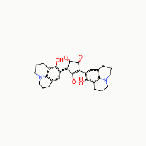 O=C1C(=O)/C(=c2/cc3c4c(c2O)CCC[N+]=4CCC3)C([O-])=C1c1cc2c3c(c1O)CCCN3CCC2